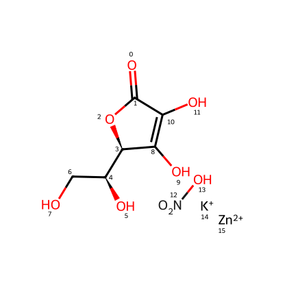 O=C1O[C@H]([C@@H](O)CO)C(O)=C1O.O=[N+]([O-])O.[K+].[Zn+2]